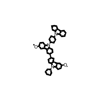 COc1ccc2c(c1)c1cc(-c3ccc4c(c3)c3cc(OC)ccc3n4-c3ccc(-n4c5ccccc5c5ccccc54)cc3)ccc1n2-c1ccccc1